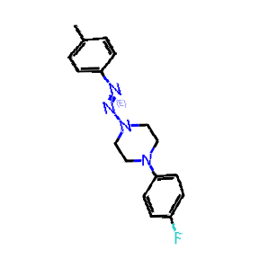 Cc1ccc(/N=N/N2CCN(c3ccc(F)cc3)CC2)cc1